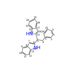 c1ccc(CC(c2cc3ccccc3[nH]2)c2cc3ccccc3[nH]2)cc1